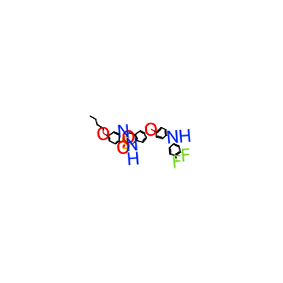 CCCCOc1ccc(S(=O)(=O)Nc2ccc(Oc3ccc(Nc4ccc(F)c(F)c4)cc3)cc2C#N)cc1